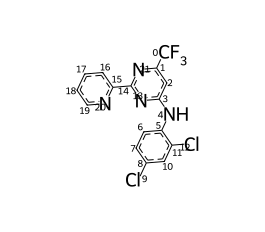 FC(F)(F)c1cc(Nc2ccc(Cl)cc2Cl)nc(-c2ccccn2)n1